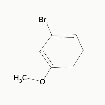 COC1=CC(Br)=CCC1